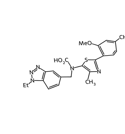 CCn1nnc2cc(CN(C(=O)O)c3sc(-c4ccc(C)cc4OC)nc3C)ccc21